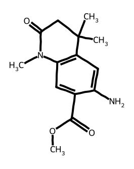 COC(=O)c1cc2c(cc1N)C(C)(C)CC(=O)N2C